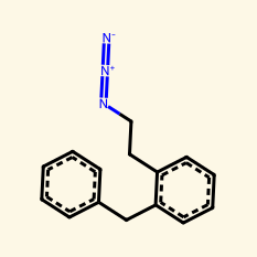 [N-]=[N+]=NCCc1ccccc1Cc1ccccc1